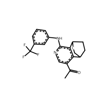 CC(=O)c1cnc(Nc2cccc(C(F)(F)F)c2)c2c1C1CCC2CC1